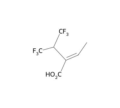 CC=C(C(=O)O)C(C(F)(F)F)C(F)(F)F